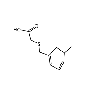 CC1C=CC=C(CSCC(=O)O)C1